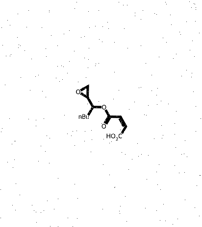 CCCCC(OC(=O)/C=C\C(=O)O)C1CO1